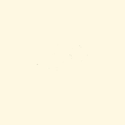 COC(c1ccc2ncc(P(=O)(O)O)n2c1)P(=O)(O)O